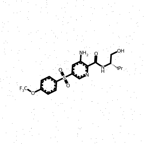 CC(C)[C@@H](CO)NC(=O)c1ncc(S(=O)(=O)c2ccc(OC(F)(F)F)cc2)cc1N